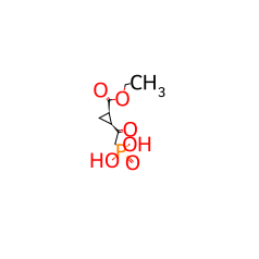 CCOC(=O)[C@@H]1C[C@@H]1C(=O)CP(=O)(O)O